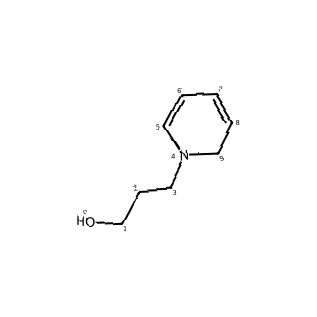 OCCCN1C=CC=CC1